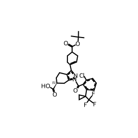 CC(C)(C)OC(=O)C1CC=C(c2nn(C(=O)c3c(Cl)cccc3C3(C(F)(F)F)CC3)c3c2CC[C@H](C(=O)O)C3)CC1